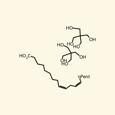 CCCCC/C=C\C/C=C\CCCCCCCC(=O)O.OCC(CO)(CO)CO.OCC(CO)(CO)CO